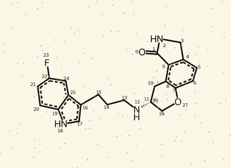 O=C1NCc2ccc3c(c21)C[C@@H](NCCCc1c[nH]c2ccc(F)cc12)CO3